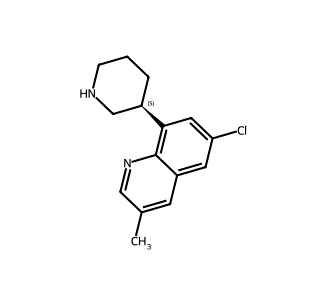 Cc1cnc2c([C@@H]3CCCNC3)cc(Cl)cc2c1